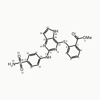 COC(=O)c1ccccc1Sc1nc(Nc2ccc(S(N)(=O)=O)cc2)nc2cc[nH]c12